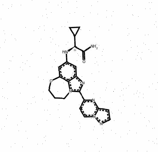 NC(=O)[C@@H](Nc1cc2c3c(c1)nc(-c1ccn4nccc4n1)n3CCCO2)C1CC1